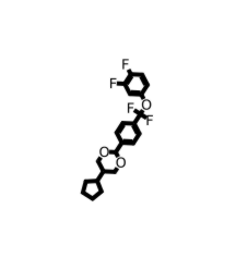 Fc1ccc(OC(F)(F)c2ccc(C3OCC(C4CCCC4)CO3)cc2)cc1F